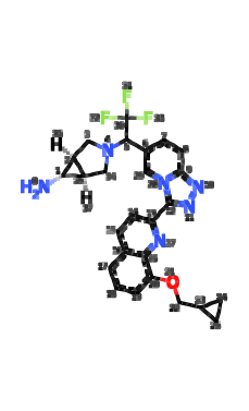 N[C@@H]1[C@H]2CN(C(c3ccc4nnc(-c5ccc6cccc(OCC7CC7)c6n5)n4c3)C(F)(F)F)C[C@@H]12